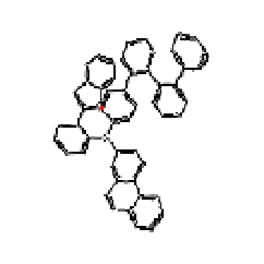 c1ccc(-c2ccccc2-c2ccccc2-c2ccc(N(c3ccc4c(ccc5ccccc54)c3)c3ccccc3-c3cc4ccccc4o3)cc2)cc1